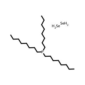 CCCCCCCCP(CCCCCCCC)CCCCCCCC.[SeH2].[SeH2]